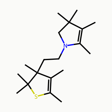 CC1=C(C)C(C)(CCN2CC(C)(C)C(C)=C2C)C(C)(C)S1